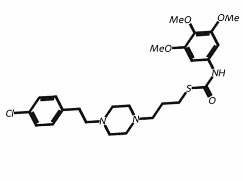 COc1cc(NC(=O)SCCCN2CCN(CCc3ccc(Cl)cc3)CC2)cc(OC)c1OC